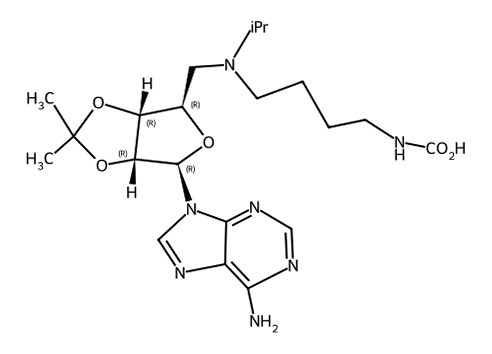 CC(C)N(CCCCNC(=O)O)C[C@H]1O[C@@H](n2cnc3c(N)ncnc32)[C@@H]2OC(C)(C)O[C@@H]21